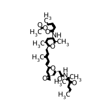 CCCC(=O)C(C)(C)NC(=O)C[C@@H]1C[C@@]2(CO2)C[C@@H](/C=C/C(C)=C/C[C@@H]2O[C@H](C)[C@H](NC(=O)/C=C\[C@H](C)OC(C)=O)C[C@@H]2C)O1